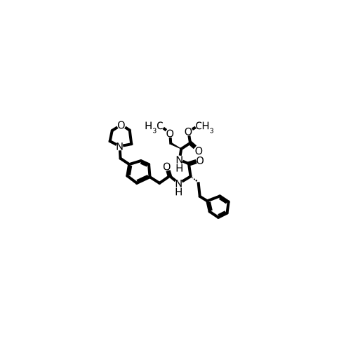 COC[C@H](NC(=O)[C@H](CCc1ccccc1)NC(=O)Cc1ccc(CN2CCOCC2)cc1)C(=O)OC